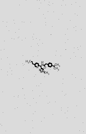 CCCc1ccc([C@@H](NC(=O)Cc2ccc(C(C)C)cc2)c2cn(C)nn2)nc1